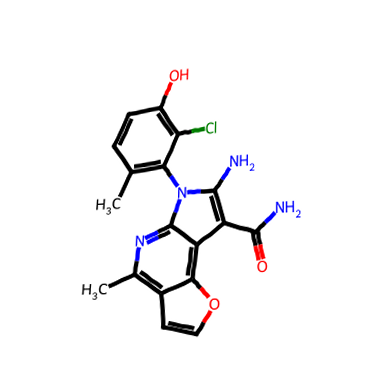 Cc1ccc(O)c(Cl)c1-n1c(N)c(C(N)=O)c2c3occc3c(C)nc21